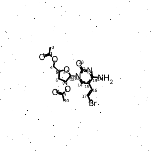 CC(=O)OC[C@@H]1C[C@@H](OC(C)=O)[C@H](n2cc(C=CBr)c(N)nc2=O)O1